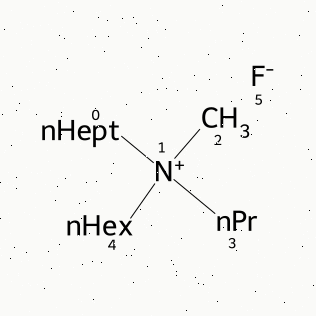 CCCCCCC[N+](C)(CCC)CCCCCC.[F-]